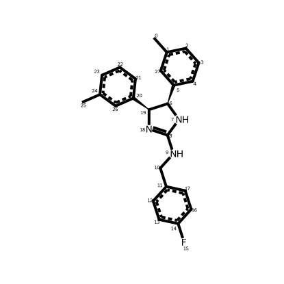 Cc1cccc([C@H]2NC(NCc3ccc(F)cc3)=N[C@H]2c2cccc(C)c2)c1